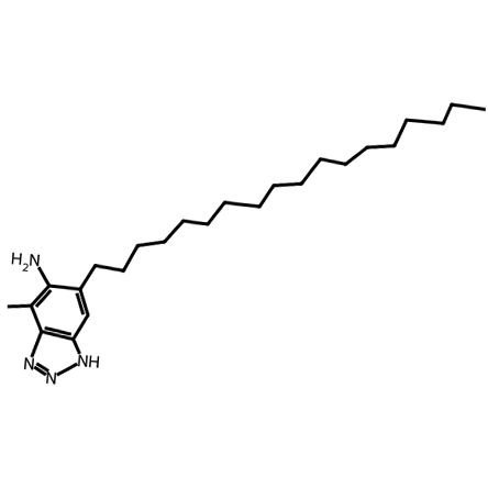 CCCCCCCCCCCCCCCCCCc1cc2[nH]nnc2c(C)c1N